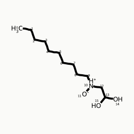 CCCCCCCCCC[NH+]([O-])CC(O)O